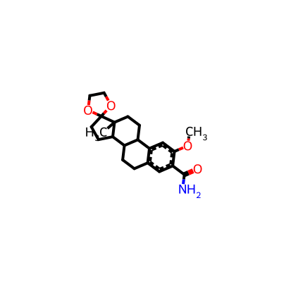 COc1cc2c(cc1C(N)=O)CCC1C2CCC2(C)C1CCC21OCCO1